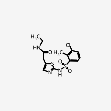 CCNC(=O)Cc1cnc(NS(=O)(=O)c2cccc(Cl)c2C)s1